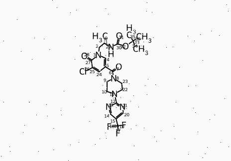 C[C@@H](Cn1cc(C(=O)N2CCN(c3ncc(C(F)(F)F)cn3)CC2)cc(Cl)c1=O)NC(=O)OC(C)(C)C